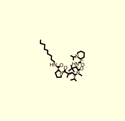 CCCCCCCCCNC(=O)[C@@H]1CCCN1C(=O)/C(C)=C/[C@H](C(C)C)N(C)C(=O)[C@@H](NC(=O)[C@H]1CCCCN1C(C)C)C(C)(C)C